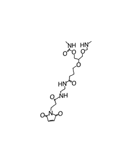 CNCOCC(COC(=O)NC)OCCCC(=O)NCCNC(=O)CCN1C(=O)C=CC1=O